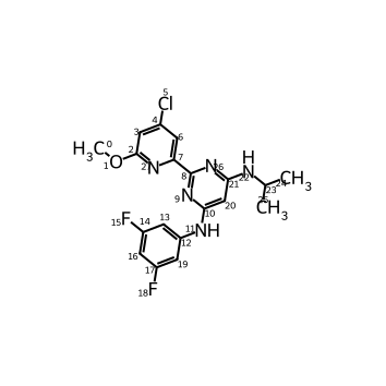 COc1cc(Cl)cc(-c2nc(Nc3cc(F)cc(F)c3)cc(NC(C)C)n2)n1